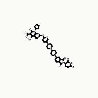 CC(=O)c1c(C)c2cnc(Nc3ccc(N4CCN(C5CCN(c6ccc7c(c6)C(=O)N(C6CCC(=O)NC6=O)C7=O)CC5)CC4)cn3)nc2n(C2CCCC2)c1=O